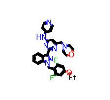 CCOc1cc(F)c(Cn2nc(-c3nc(CN4CCOCC4)cc(Nc4ccncc4)n3)c3ccccc32)c(F)c1